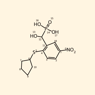 O=[N+]([O-])c1ccc(SC2CCCC2)c(C(O)P(=O)(O)O)c1